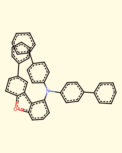 c1ccc(-c2ccc(N(c3ccc(-c4ccccc4)cc3)c3cccc4oc5ccc(-c6ccccc6)cc5c34)cc2)cc1